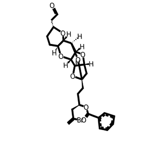 C=C(Br)C[C@@H](CC[C@]12C[C@H]3O[C@H]4[C@@H](O1)[C@H]1O[C@@H](CC=O)CC[C@@H]1O[C@H]4[C@H]3O2)OC(=O)c1ccccc1